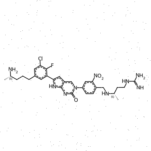 C[C@H](N)CCCc1cc(Cl)c(F)c(-c2cc3cn(-c4ccc(CN[C@@H](C)CCNC(=N)N)c([N+](=O)[O-])c4)c(=O)nc3[nH]2)c1